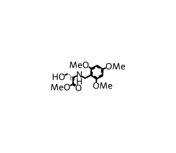 COC(=O)[C@H](CO)NCc1c(OC)cc(OC)cc1OC